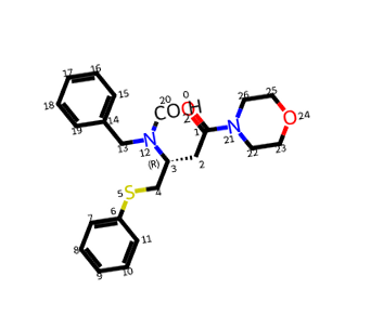 O=C(C[C@H](CSc1ccccc1)N(Cc1ccccc1)C(=O)O)N1CCOCC1